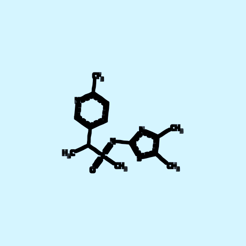 Cc1nc(N=S(C)(=O)C(C)c2ccc(C(F)(F)F)nc2)sc1C